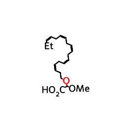 CC/C=C\C/C=C\C/C=C\C/C=C\C/C=C\CCOC(OC)C(=O)O